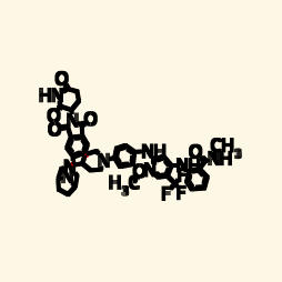 CNC(=O)c1ccccc1Nc1cc(Nc2ccc(N3CCC(CN4C5CCC4CN(c4ccc6c(c4)C(=O)N(C4CCC(=O)NC4=O)C6=O)C5)CC3)cc2OC)ncc1C(F)(F)F